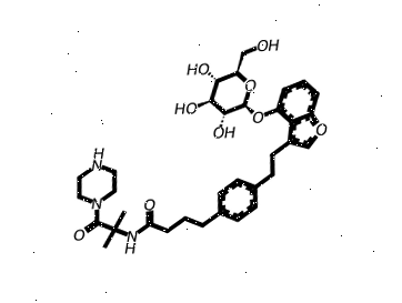 CC(C)(NC(=O)CCCc1ccc(CCc2coc3cccc(O[C@@H]4O[C@H](CO)[C@@H](O)[C@H](O)[C@H]4O)c23)cc1)C(=O)N1CCNCC1